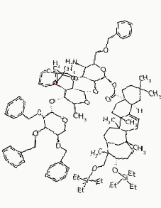 CC[Si](CC)(CC)OCC1(C)C2CCC3(C)C(CC=C4[C@@H]5CC(C)(C)CC[C@]5(C(=O)O[C@@H]5OC(COCc6ccccc6)[C@H](N)C(OCc6ccccc6)C5O[C@@H]5OC(C)[C@H](O[C@@H]6OC[C@@H](OCc7ccccc7)C(OCc7ccccc7)C6OCc6ccccc6)C6OC(C)(C)OC65)CCC43C)C(C)(CC[C@@H]1O[Si](CC)(CC)CC)C2